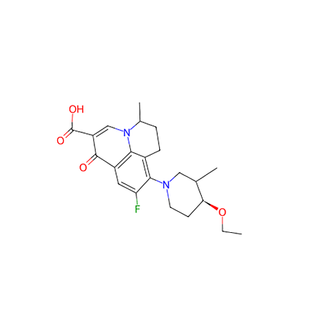 CCO[C@H]1CCN(c2c(F)cc3c(=O)c(C(=O)O)cn4c3c2CCC4C)CC1C